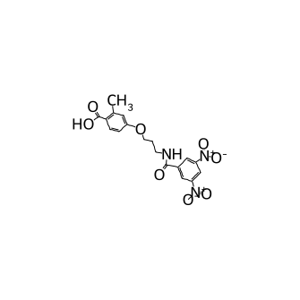 Cc1cc(OCCCNC(=O)c2cc([N+](=O)[O-])cc([N+](=O)[O-])c2)ccc1C(=O)O